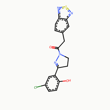 O=C(Cc1ccc2nsnc2c1)N1CCC(c2cc(Cl)ccc2O)=N1